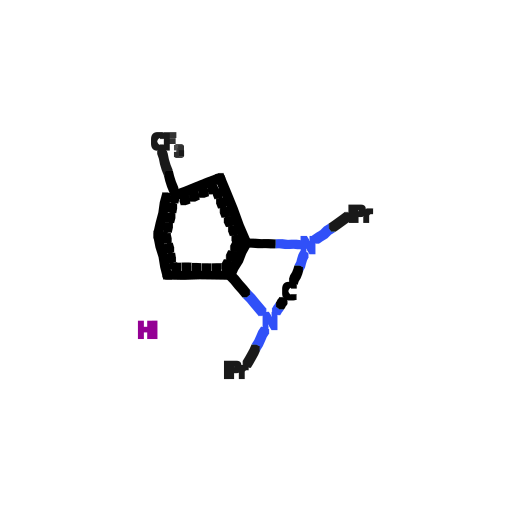 CC(C)N1CN(C(C)C)c2cc(C(F)(F)F)ccc21.I